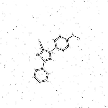 COc1ccc(-n2nc(-c3ccccc3)[nH]c2=O)cc1